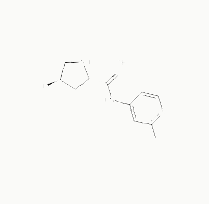 Cc1cc(NC(=O)[C@@H]2C[C@@H](F)CN2)ccn1.Cl